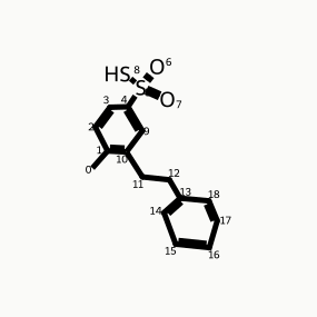 Cc1ccc(S(=O)(=O)S)cc1CCc1ccccc1